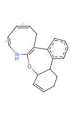 C1=CC2OC3=C(C/C=C\C=C/N3)c3ccccc3C2CC1